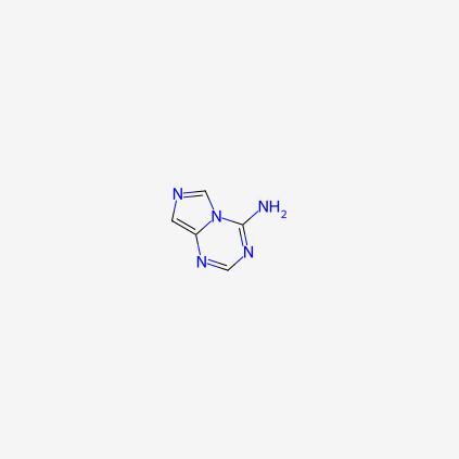 Nc1ncnc2cncn12